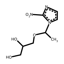 CC(OCC(O)CO)n1ccnc1[N+](=O)[O-]